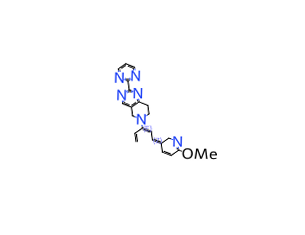 C=C/C(=C\C=C1\C=CC(OC)=NC1)N1CCc2nc(-c3ncccn3)ncc2C1